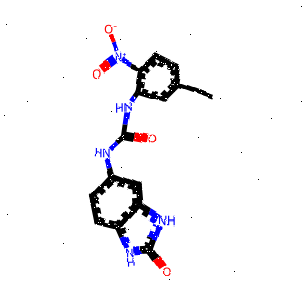 Cc1ccc([N+](=O)[O-])c(NC(=O)Nc2ccc3[nH]c(=O)[nH]c3c2)c1